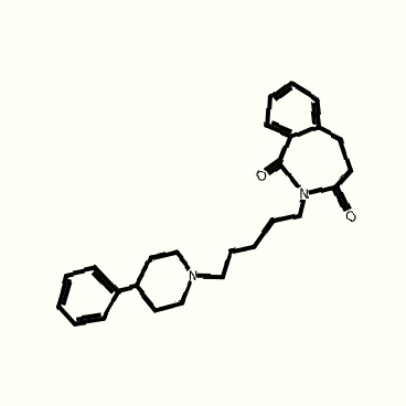 O=C1CCc2ccccc2C(=O)N1CCCCCN1CCC(c2ccccc2)CC1